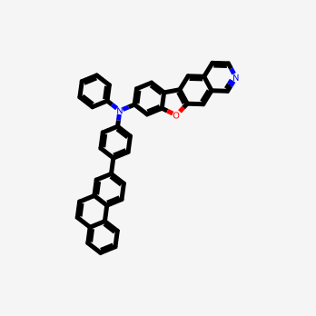 c1ccc(N(c2ccc(-c3ccc4c(ccc5ccccc54)c3)cc2)c2ccc3c(c2)oc2cc4cnccc4cc23)cc1